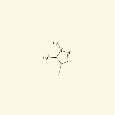 CC1C(I)C=NN1C